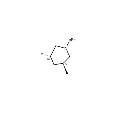 CCCN1C[C@@H](C)C[C@H](C)C1